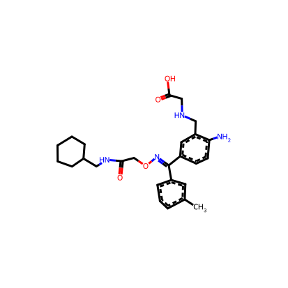 Cc1cccc(/C(=N\OCC(=O)NCC2CCCCC2)c2ccc(N)c(CNCC(=O)O)c2)c1